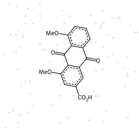 COc1cccc2c1C(=O)c1c(OC)cc(C(=O)O)cc1C2=O